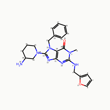 Cn1c(NCc2ccco2)nc2nc(N3CCCC(N)C3)n(Cc3ccccc3)c2c1=O